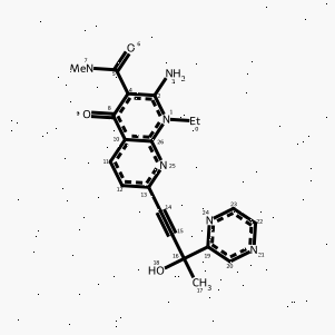 CCn1c(N)c(C(=O)NC)c(=O)c2ccc(C#CC(C)(O)c3cnccn3)nc21